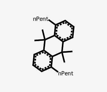 CCCCCc1cccc2c1C(C)(C)c1cccc(CCCCC)c1C2(C)C